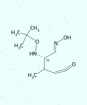 CC(C=C=O)[C@@H](C=NO)NOC(C)(C)C